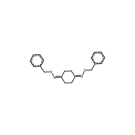 c1ccc(CON=C2CCC(=NOCc3ccccc3)CC2)cc1